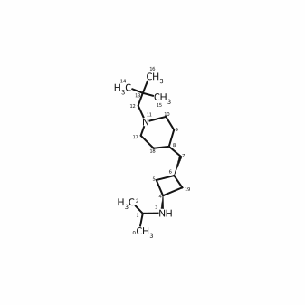 CC(C)N[C@H]1C[C@@H](CC2CCN(CC(C)(C)C)CC2)C1